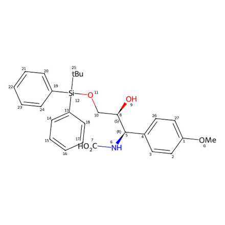 COc1ccc([C@@H](NC(=O)O)[C@H](O)CO[Si](c2ccccc2)(c2ccccc2)C(C)(C)C)cc1